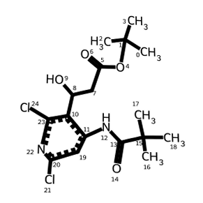 CC(C)(C)OC(=O)CC(O)c1c(NC(=O)C(C)(C)C)cc(Cl)nc1Cl